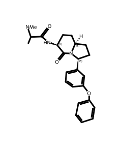 CNC(C)C(=O)N[C@H]1CC[C@H]2CC[C@@H](c3cccc(Oc4ccccc4)c3)N2C1=O